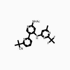 CC(=O)Nc1cc(Nc2cc(C)nc(C(C)(F)F)n2)c(-c2cccc(C(C)(C)C#N)n2)cn1